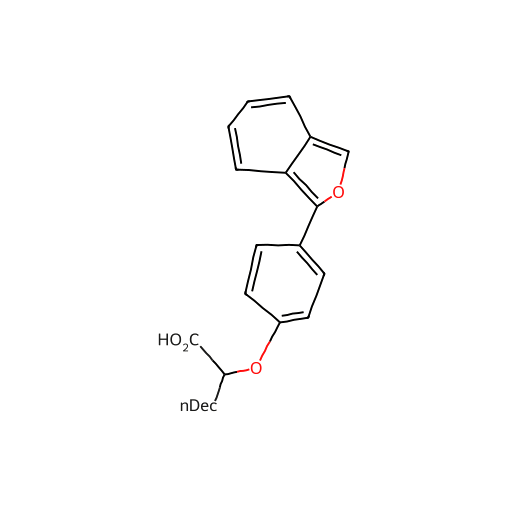 CCCCCCCCCCC(Oc1ccc(-c2occ3ccccc23)cc1)C(=O)O